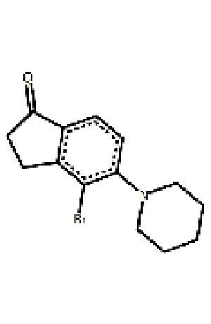 O=C1CCc2c1ccc(N1CCCCC1)c2Br